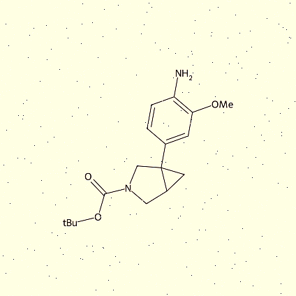 COc1cc(C23CC2CN(C(=O)OC(C)(C)C)C3)ccc1N